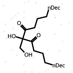 CCCCCCCCCCCCCC(=O)C(O)(CO)C(=O)CCCCCCCCCCCCC